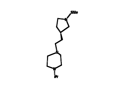 CSN1CC[C@H](CCN2CCN(C(C)C)CC2)C1